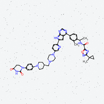 Cc1cc(-c2ncnc3[nH]c(-c4ccc(N5CCN(CC6CCN(c7ccc(N8CCC(=O)NC8=O)cc7)CC6)CC5)cn4)cc23)ccc1C(C)NC(=O)c1nc(C2(C)CC2)no1